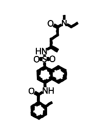 C=C(CCC(=O)N(C)CC)NS(=O)(=O)c1ccc(NC(=O)c2ccccc2C)c2ccccc12